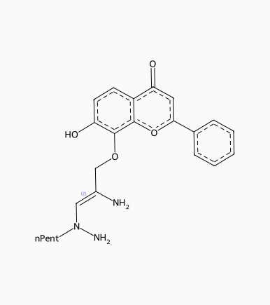 CCCCCN(N)/C=C(\N)COc1c(O)ccc2c(=O)cc(-c3ccccc3)oc12